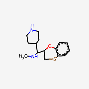 CNC(C1CCNCC1)C1CSc2ccccc2O1